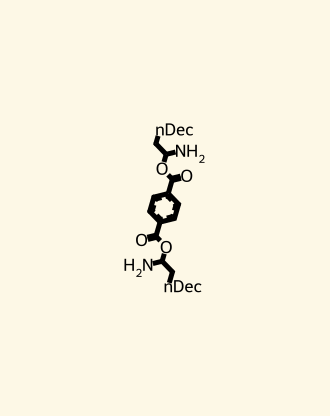 CCCCCCCCCCCC(N)OC(=O)c1ccc(C(=O)OC(N)CCCCCCCCCCC)cc1